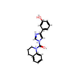 O=C(N1CCCc2ccccc21)n1cnc(-c2cccc(O)c2)c1